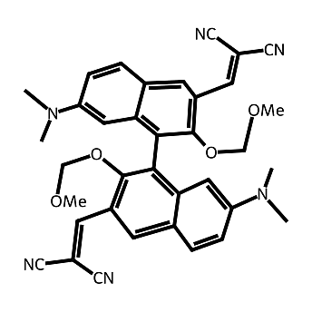 COCOc1c(C=C(C#N)C#N)cc2ccc(N(C)C)cc2c1-c1c(OCOC)c(C=C(C#N)C#N)cc2ccc(N(C)C)cc12